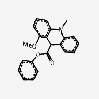 COc1cccc2c1C(C(=O)Oc1ccccc1)c1ccccc1N2C